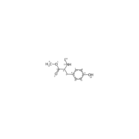 COC(=O)C(Cc1ccc(O)cc1)NI